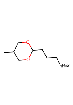 CCCCCCCCCC1OCC(C)CO1